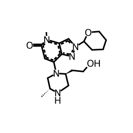 C[C@@H]1CN(c2cc(=O)n(C)c3cn(C4CCCCO4)nc23)[C@@H](CCO)CN1